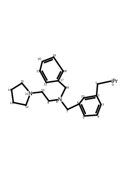 CC(C)Cc1cccc(CN(CCN2CCCC2)Cc2ccccc2)c1